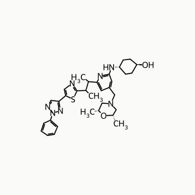 CC(c1cc(CN2C[C@@H](C)O[C@@H](C)C2)cc(N[C@H]2CC[C@H](O)CC2)n1)C(C)c1ncc(-c2cnn(-c3ccccc3)n2)s1